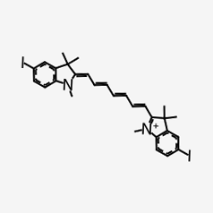 CN1\C(=C/C=C/C=C/C=C/C2=[N+](C)c3ccc(I)cc3C2(C)C)C(C)(C)c2cc(I)ccc21